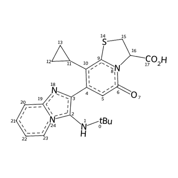 CC(C)(C)Nc1c(-c2cc(=O)n3c(c2C2CC2)SCC3C(=O)O)nc2ccccn12